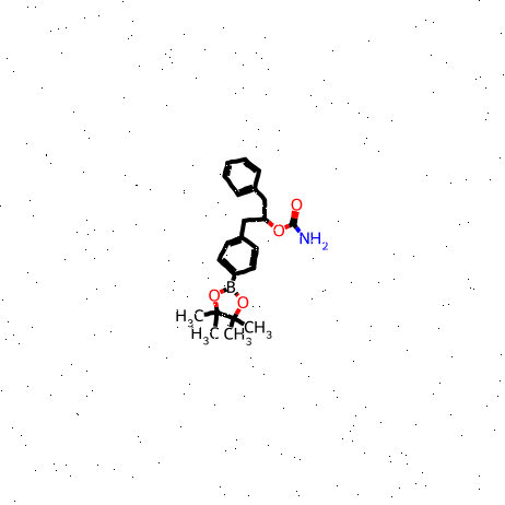 CC1(C)OB(c2ccc(CC(Cc3ccccc3)OC(N)=O)cc2)OC1(C)C